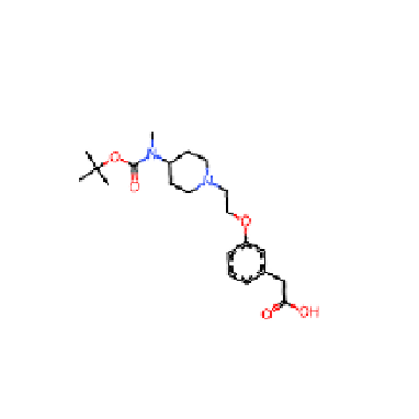 CN(C(=O)OC(C)(C)C)C1CCN(CCOc2cccc(CC(=O)O)c2)CC1